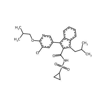 CC(C)COc1ncc(-c2c(C(=O)NS(=O)(=O)C3CC3)n(CC(C)C)c3ccccc23)cc1Cl